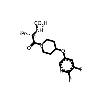 CC(C)[C@H](NC(=O)O)C(=O)N1CCC(Oc2cnc(F)c(F)c2)CC1